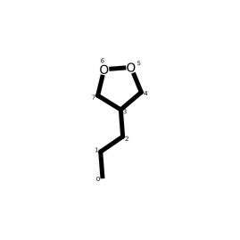 CCCC1COOC1